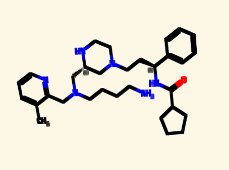 Cc1cccnc1CN(CCCCN)C[C@H]1CN(CC[C@H](NC(=O)C2CCCC2)c2ccccc2)CCN1